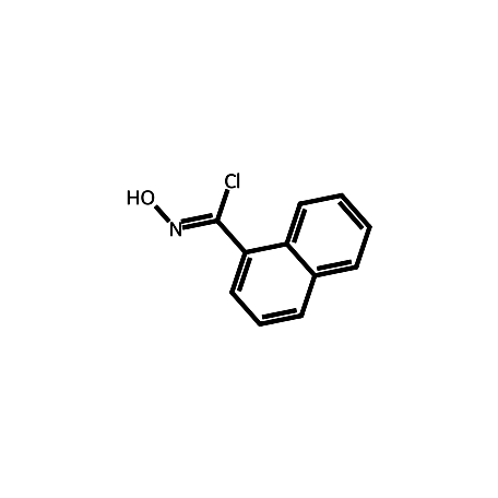 ON=C(Cl)c1cccc2ccccc12